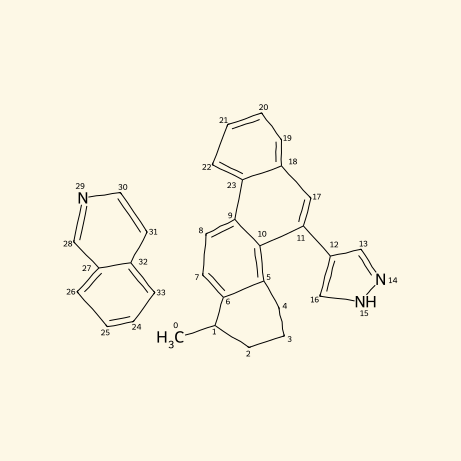 CC1CCCc2c1ccc1c2c(-c2cn[nH]c2)cc2ccccc21.c1ccc2cnccc2c1